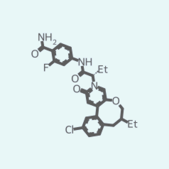 CCC1COc2cn([C@@H](CC)C(=O)Nc3ccc(C(N)=O)c(F)c3)c(=O)cc2-c2cc(Cl)ccc2C1